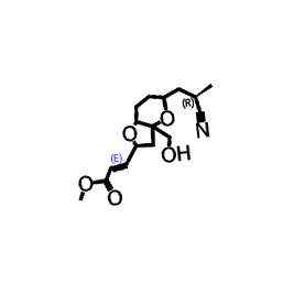 COC(=O)/C=C/C1CC2(CO)OC(C[C@@H](C)C#N)CCC2O1